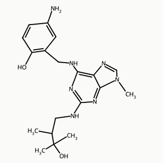 CC(CNc1nc(NCc2cc(N)ccc2O)c2ncn(C)c2n1)C(C)(C)O